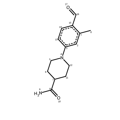 Cc1cc(N2CCC(C(N)=O)CC2)ccc1C=O